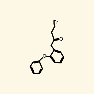 CC(C)CCC(=O)Cc1ccccc1Oc1ccccc1